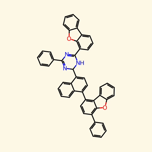 c1ccc(C2=NC(c3ccc(-c4ccc(-c5ccccc5)c5oc6ccccc6c45)c4ccccc34)NC(c3cccc4c3oc3ccccc34)=N2)cc1